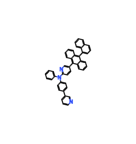 c1ccc(N(c2ccc(-c3cccnc3)cc2)c2ccc(-c3c4ccccc4c(-c4cccc5ccccc45)c4ccccc34)cn2)cc1